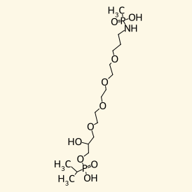 CC(C)P(=O)(O)OCC(O)COCCOCCOCCOCCCNP(C)(=O)O